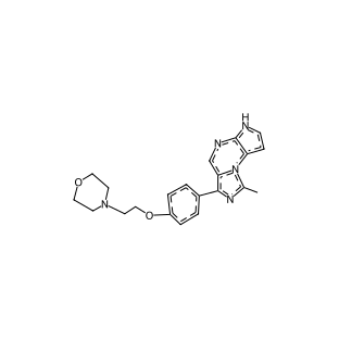 Cc1nc(-c2ccc(OCCN3CCOCC3)cc2)c2cnc3[nH]ccc3n12